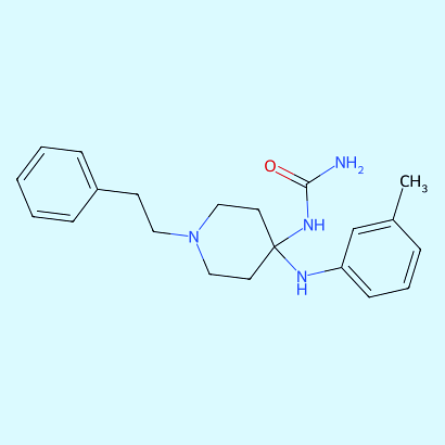 Cc1cccc(NC2(NC(N)=O)CCN(CCc3ccccc3)CC2)c1